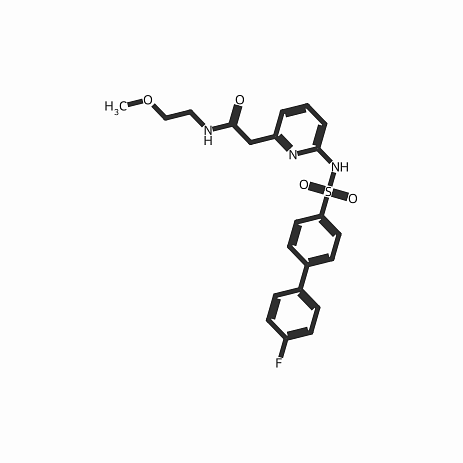 COCCNC(=O)Cc1cccc(NS(=O)(=O)c2ccc(-c3ccc(F)cc3)cc2)n1